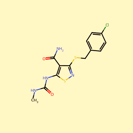 CNC(=O)Nc1snc(SCc2ccc(Cl)cc2)c1C(N)=O